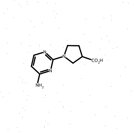 Nc1ccnc(N2CCC(C(=O)O)C2)n1